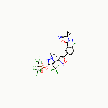 Cn1nc(OS(=O)(=O)C(F)(C(F)(F)F)C(F)(F)F)c(C(F)(F)F)c1-c1cc(-c2ccc(Cl)c(C(=O)NC3(C#N)CC3)c2)on1